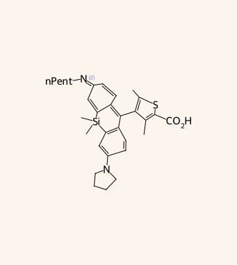 CCCCC/N=C1/C=CC2=C(c3c(C)sc(C(=O)O)c3C)c3ccc(N4CCCC4)cc3[Si](C)(C)C2=C1